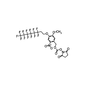 COc1cc(COC(=O)ON2C(=O)CCC2=O)c([N+](=O)[O-])cc1OCCC(F)(F)C(F)(F)C(F)(F)C(F)(F)C(F)(F)C(F)(F)F